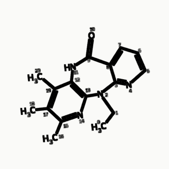 CCN1c2ncccc2C(=O)Nc2c1nc(C)c(C)c2C